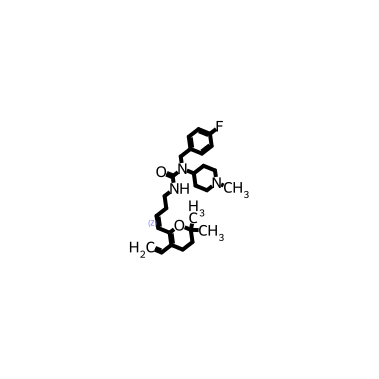 C=CC1=C(/C=C\CCNC(=O)N(Cc2ccc(F)cc2)C2CCN(C)CC2)OC(C)(C)CC1